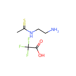 CC(=S)NCCN.O=C(O)C(F)(F)F